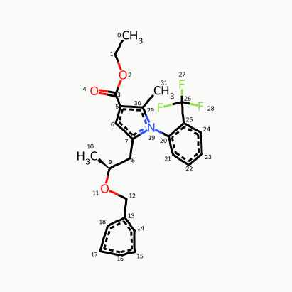 CCOC(=O)c1cc(C[C@H](C)OCc2ccccc2)n(-c2ccccc2C(F)(F)F)c1C